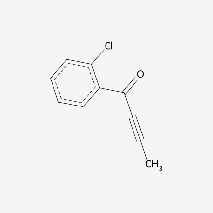 CC#CC(=O)c1ccccc1Cl